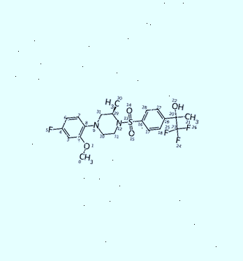 COc1cc(F)ccc1N1CCN(S(=O)(=O)c2ccc(C(C)(O)C(F)(F)F)cc2)[C@H](C)C1